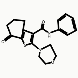 O=C1CCCc2c1sc(N1CCOCC1)c2C(=O)Nc1ccccc1